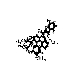 COc1ccc(-c2ccnc(C)c2)cc1CN(C(=O)c1sc2c(F)ccc(F)c2c1Cl)C1CCC(C(NC(=O)O)C(C)(C)C)CC1